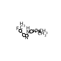 Cc1cc(-c2ccc3nccc(Nc4ccc(N5CCC(N(C)C)C5)cc4)c3c2)ccc1F